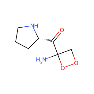 NC1(C(=O)[C@@H]2CCCN2)COO1